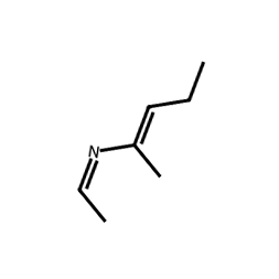 C/C=N\C(C)=C\CC